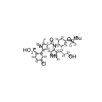 Cc1c(C(=O)N(c2ccc(O[Si](C)(C)C(C)(C)C)cc2)c2cnn(C)c2CCCO)cc(-c2cc(Cl)ccc2C(=O)O)n1C